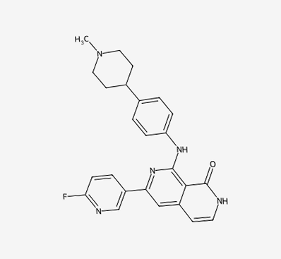 CN1CCC(c2ccc(Nc3nc(-c4ccc(F)nc4)cc4cc[nH]c(=O)c34)cc2)CC1